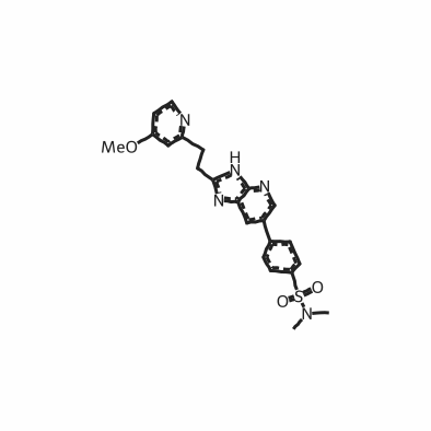 COc1ccnc(CCc2nc3cc(-c4ccc(S(=O)(=O)N(C)C)cc4)cnc3[nH]2)c1